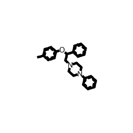 Cc1ccc(OC(CN2CCN(c3ccccc3)CC2)c2ccccc2)cc1